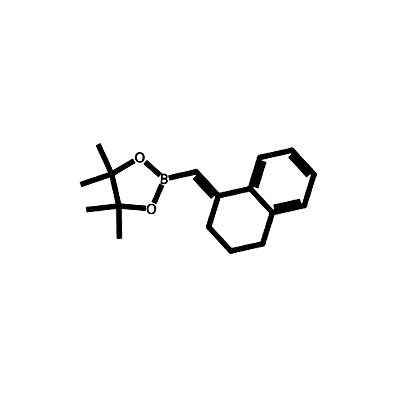 CC1(C)OB(/C=C2\CCCc3ccccc32)OC1(C)C